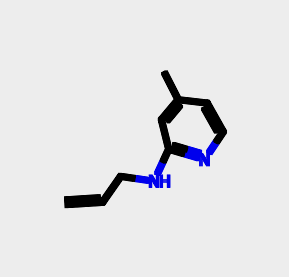 C=CCNc1cc(C)ccn1